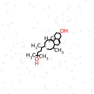 CC1CC[C@H]([C@H](C)CCC(C)(C)O)CCCC2C1CC=C1C[C@@H](O)CC[C@@]12C